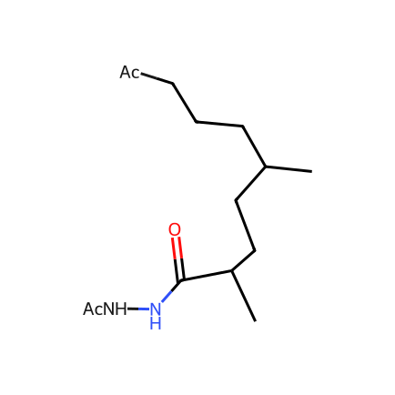 CC(=O)CCCC(C)CCC(C)C(=O)NNC(C)=O